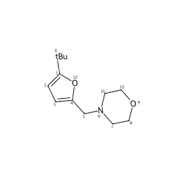 CC(C)(C)c1ccc(CN2CCOCC2)o1